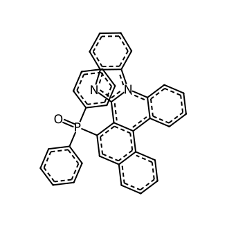 O=P(c1ccccc1)(c1ccccc1)c1cc2ccccc2c2c3ccccc3n3c4ccccc4nc3c12